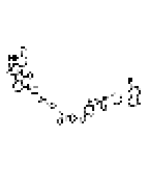 C[C@@H](C(=O)Nc1ccc(OC2CN(C(=O)CCOCCOCCNc3cccc4c3C(=O)N(C3CCC(=O)NC3=O)C4=O)C2)cc1)[C@H]1CC[C@@H](c2ccnc3ccc(F)cc32)CC1